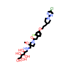 COCC1(CNCC(O)C(O)C(O)C(O)CO)CCN(C(=O)Cc2ccc(OCCCC3CCN(c4ncc(Cl)cn4)CC3)cc2F)C1